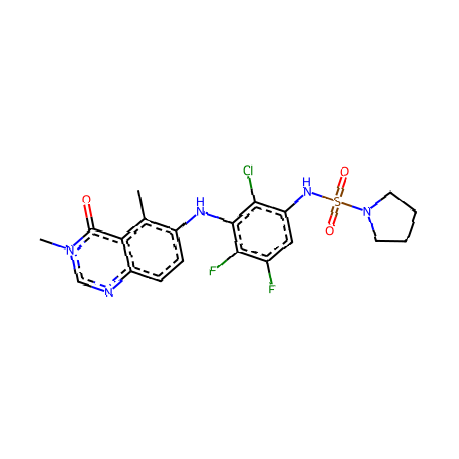 Cc1c(Nc2c(F)c(F)cc(NS(=O)(=O)N3CCCC3)c2Cl)ccc2ncn(C)c(=O)c12